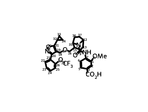 COc1cc(C(=O)O)ccc1NC(=O)N1C2CCC(COCc3c(-c4ccccc4OC(F)(F)F)noc3C3CC3)C1CC2